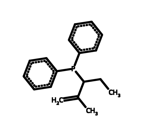 C=C(C)C(CC)P(c1ccccc1)c1ccccc1